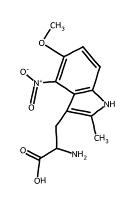 COc1ccc2[nH]c(C)c(CC(N)C(=O)O)c2c1[N+](=O)[O-]